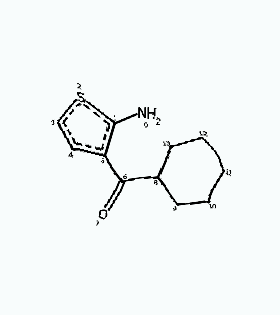 Nc1sccc1C(=O)C1CCCCC1